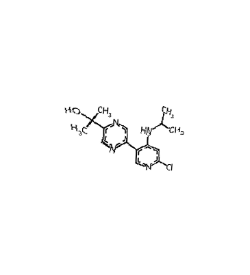 CC(C)Nc1cc(Cl)ncc1-c1cnc(C(C)(C)O)cn1